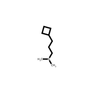 CN(C)CCCC1CCC1